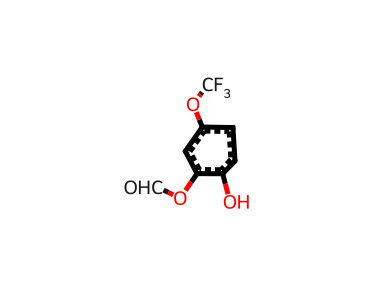 O=COc1cc(OC(F)(F)F)ccc1O